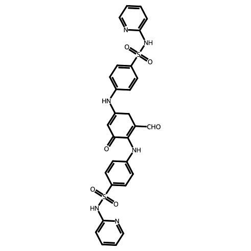 O=CC1=C(Nc2ccc(S(=O)(=O)Nc3ccccn3)cc2)C(=O)C=C(Nc2ccc(S(=O)(=O)Nc3ccccn3)cc2)C1